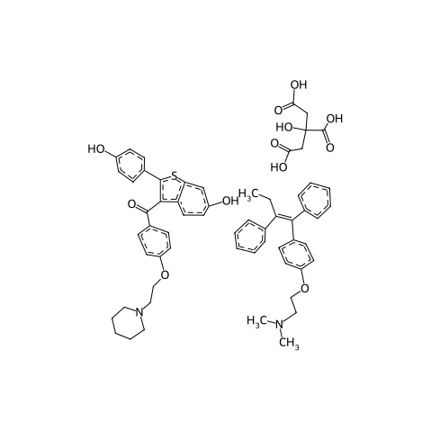 CC/C(=C(\c1ccccc1)c1ccc(OCCN(C)C)cc1)c1ccccc1.O=C(O)CC(O)(CC(=O)O)C(=O)O.O=C(c1ccc(OCCN2CCCCC2)cc1)c1c(-c2ccc(O)cc2)sc2cc(O)ccc12